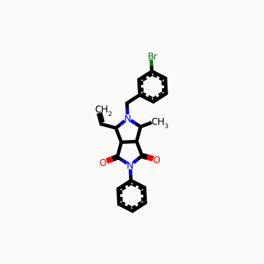 C=CC1C2C(=O)N(c3ccccc3)C(=O)C2C(C)N1Cc1cccc(Br)c1